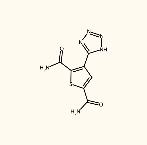 NC(=O)c1cc(-c2nnn[nH]2)c(C(N)=O)s1